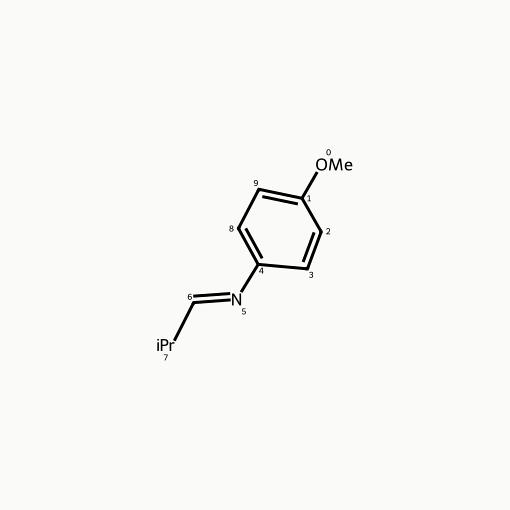 COc1ccc(/N=C/C(C)C)cc1